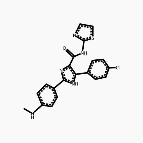 CNc1ccc(-c2nc(C(=O)Nc3nccs3)c(-c3ccc(Cl)cc3)[nH]2)cc1